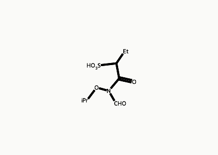 CCC(C(=O)N(C=O)OC(C)C)S(=O)(=O)O